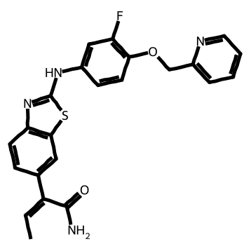 CC=C(C(N)=O)c1ccc2nc(Nc3ccc(OCc4ccccn4)c(F)c3)sc2c1